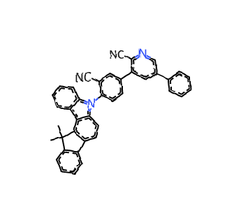 CC1(C)c2ccccc2-c2ccc3c(c21)c1ccccc1n3-c1ccc(-c2cc(-c3ccccc3)cnc2C#N)cc1C#N